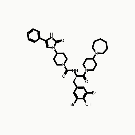 O=C(N[C@H](Cc1cc(Br)c(O)c(Br)c1)C(=O)N1CCC(N2CCCCCC2)CC1)N1CCC(n2cc(-c3ccccc3)[nH]c2=O)CC1